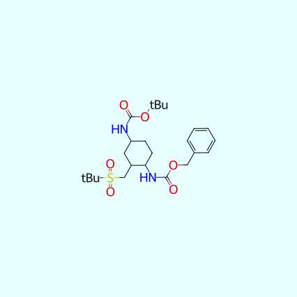 CC(C)(C)OC(=O)NC1CCC(NC(=O)OCc2ccccc2)C(CS(=O)(=O)C(C)(C)C)C1